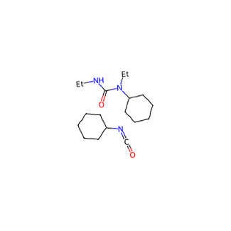 CCNC(=O)N(CC)C1CCCCC1.O=C=NC1CCCCC1